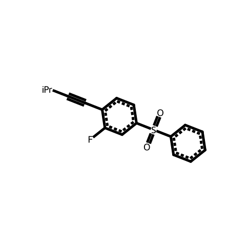 CC(C)C#Cc1ccc(S(=O)(=O)c2ccccc2)cc1F